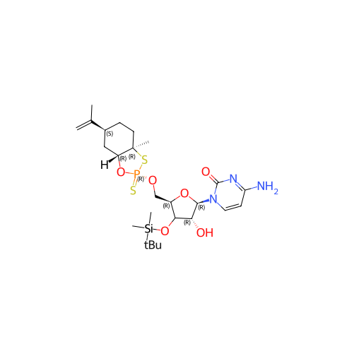 C=C(C)[C@H]1CC[C@@]2(C)S[P@](=S)(OC[C@H]3O[C@@H](n4ccc(N)nc4=O)[C@H](O)C3O[Si](C)(C)C(C)(C)C)O[C@@H]2C1